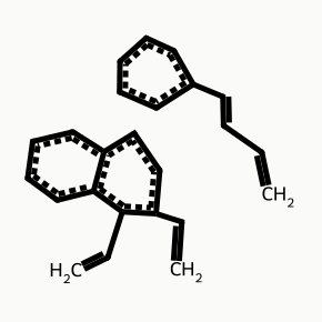 C=CC=Cc1ccccc1.C=Cc1ccc2ccccc2c1C=C